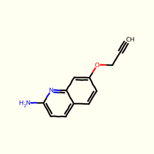 C#CCOc1ccc2ccc(N)nc2c1